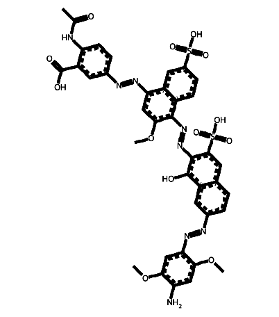 COc1cc(N=Nc2ccc3cc(S(=O)(=O)O)c(N=Nc4c(OC)cc(N=Nc5ccc(NC(C)=O)c(C(=O)O)c5)c5cc(S(=O)(=O)O)ccc45)c(O)c3c2)c(OC)cc1N